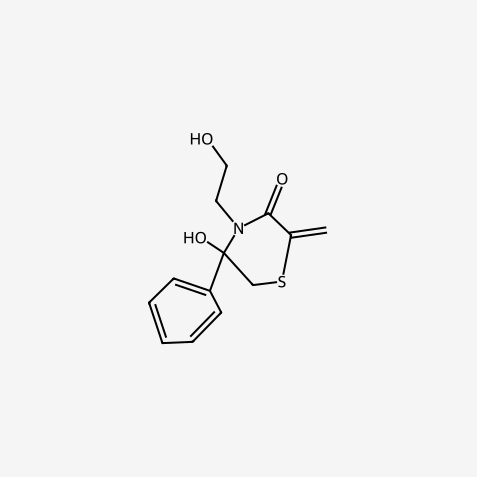 C=C1SCC(O)(c2ccccc2)N(CCO)C1=O